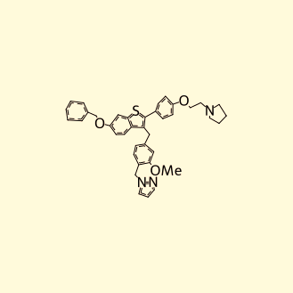 COc1cc(Cc2c(-c3ccc(OCCN4CCCC4)cc3)sc3cc(OCc4ccccc4)ccc23)ccc1Cn1cccn1